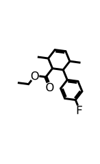 CCOC(=O)C1C(C)C=CC(C)C1c1ccc(F)cc1